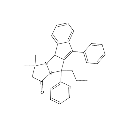 CCCC1(c2ccccc2)C2=C(c3ccccc3)c3ccccc3C2N2N1C(=O)CC2(C)C